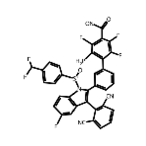 N#Cc1cccc(C#N)c1-c1c(-c2cccc(-c3c(F)c(F)c(C(=O)N=O)c(F)c3P)c2)n([S+]([O-])c2ccc(C(F)F)cc2)c2ccc(F)cc12